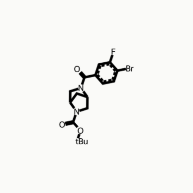 CC(C)(C)OC(=O)N1CC2CC1CN2C(=O)c1ccc(Br)c(F)c1